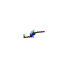 CCCCCCCCCCc1ccc(-c2ncc(CCCCCC(C)F)cn2)c(F)c1F